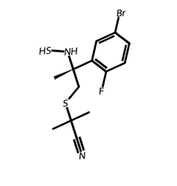 CC(C)(C#N)SC[C@](C)(NS)c1cc(Br)ccc1F